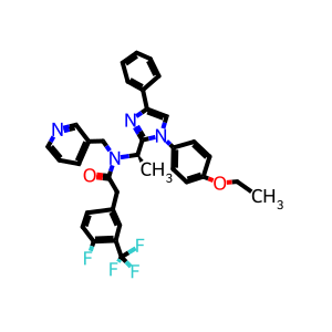 CCOc1ccc(-n2cc(-c3ccccc3)nc2[C@@H](C)N(Cc2cccnc2)C(=O)Cc2ccc(F)c(C(F)(F)F)c2)cc1